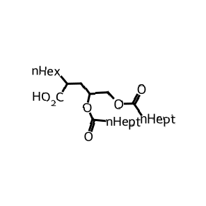 CCCCCCCC(=O)OCC(CC(CCCCCC)C(=O)O)OC(=O)CCCCCCC